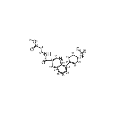 COC(=O)CCNC(=O)c1cnc2c(C3=CC[C@@H](C(F)(F)F)CC3)cccc2c1